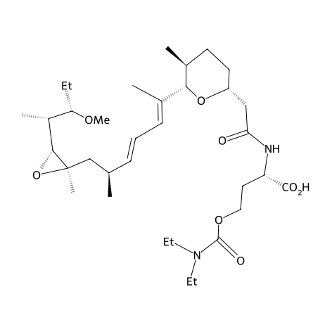 CC[C@H](OC)[C@@H](C)[C@H]1O[C@]1(C)C[C@H](C)/C=C/C=C(\C)[C@H]1O[C@@H](CC(=O)N[C@@H](CCOC(=O)N(CC)CC)C(=O)O)CC[C@@H]1C